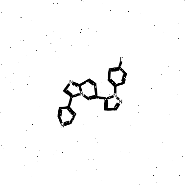 Fc1ccc(-n2nccc2-c2ccc3ncc(-c4ccncc4)n3c2)cc1